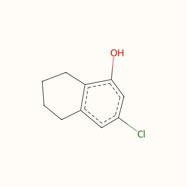 Oc1cc(Cl)cc2c1CCCC2